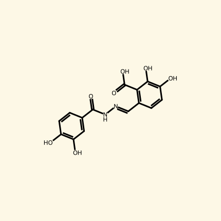 O=C(NN=Cc1ccc(O)c(O)c1C(=O)O)c1ccc(O)c(O)c1